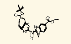 CCOC(=O)c1ccc2c(c1)nc(Nc1nc3c(s1)CN(C(=O)OC(C)(C)C)CC3)n2C